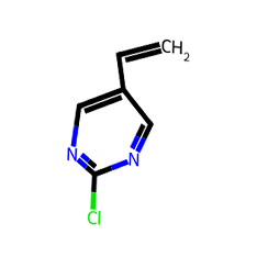 C=Cc1cnc(Cl)nc1